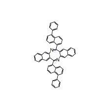 c1ccc(-c2cccc3c(/C4=N/c5cc6ccccc6cc5/C(c5cccc6c(-c7ccccc7)cccc56)=N\c5cc6ccccc6cc54)cccc23)cc1